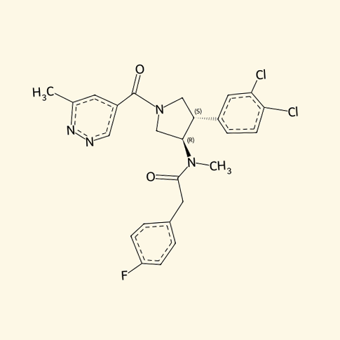 Cc1cc(C(=O)N2C[C@H](c3ccc(Cl)c(Cl)c3)[C@@H](N(C)C(=O)Cc3ccc(F)cc3)C2)cnn1